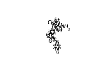 CCc1nc(C(N)=O)c(Nc2ccc3c(c2)N(CCCN2CCN(C)CC2)C(=O)CO3)nc1Cl